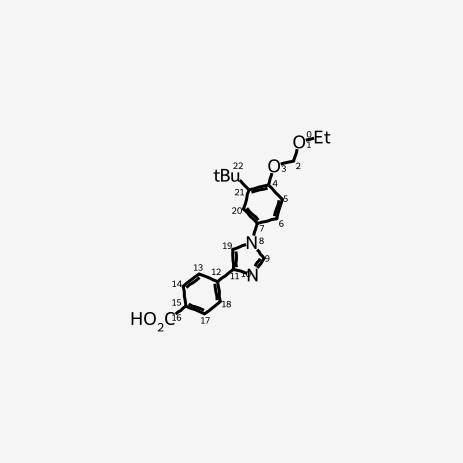 CCOCOc1ccc(-n2cnc(-c3ccc(C(=O)O)cc3)c2)cc1C(C)(C)C